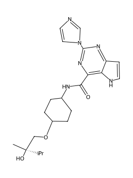 CC(C)[C@@](C)(O)COC1CCC(NC(=O)c2nc(-n3ccnc3)nc3cc[nH]c23)CC1